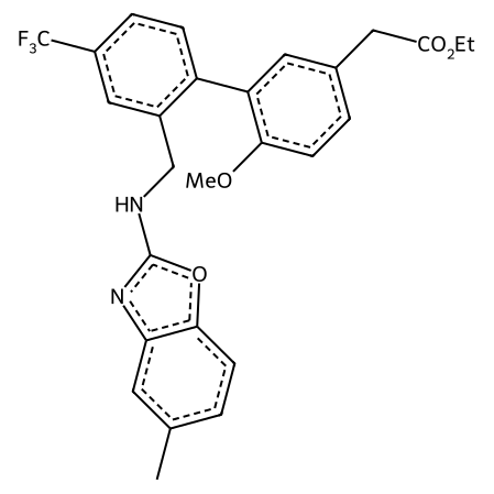 CCOC(=O)Cc1ccc(OC)c(-c2ccc(C(F)(F)F)cc2CNc2nc3cc(C)ccc3o2)c1